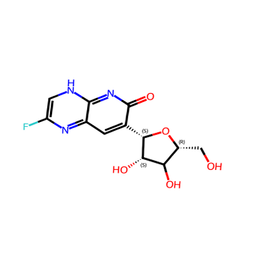 O=c1nc2[nH]cc(F)nc-2cc1[C@@H]1O[C@H](CO)C(O)[C@@H]1O